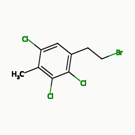 Cc1c(Cl)cc(CCBr)c(Cl)c1Cl